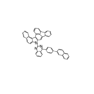 c1ccc2c(c1)-c1cccc3c1c-2cc1c3c2c3ccccc3ccc2n1-c1nc(-c2ccc(-c3ccc4ccccc4c3)cc2)c2ccccc2n1